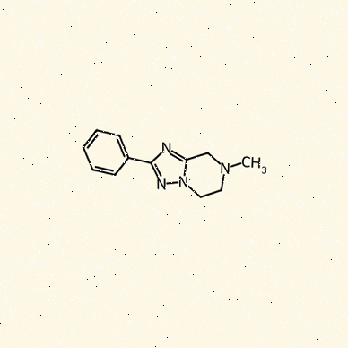 CN1CCn2nc(-c3ccccc3)nc2C1